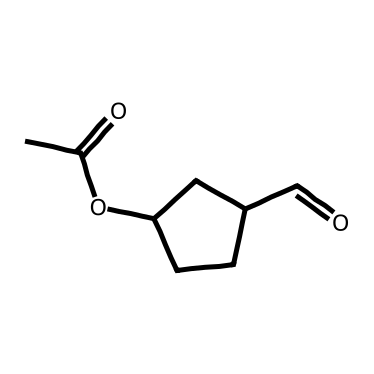 CC(=O)OC1CCC(C=O)C1